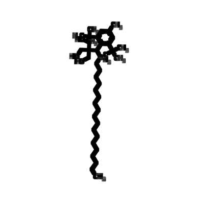 CCCCCCCCCCCCCCCCCCOC(c1c(C(C)(C)C)cc(C)cc1C(C)(C)C)C(CO)(CO)CO